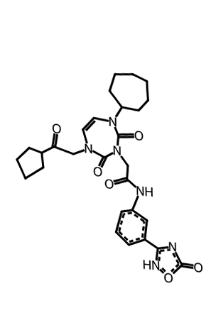 O=C(CN1C(=O)N(CC(=O)C2CCCC2)C=CN(C2CCCCCC2)C1=O)Nc1cccc(-c2nc(=O)o[nH]2)c1